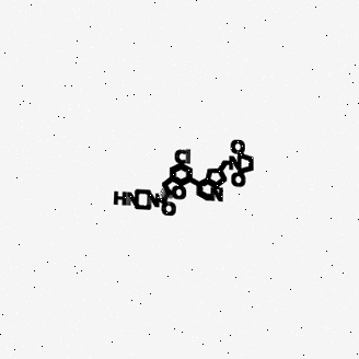 O=C([C@H]1Cc2cc(Cl)cc(-c3ccnc4c3CC(CN3C(=O)CCC3=O)C4)c2O1)N1CCNCC1